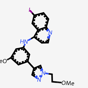 COCCn1cc(-c2cc(Nc3ccnc4ccc(I)cc34)cc(OC)c2)cn1